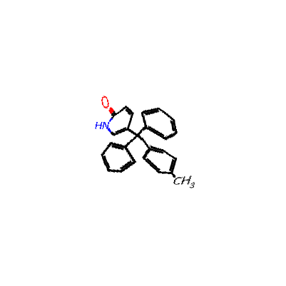 Cc1ccc(C(c2ccccc2)(c2ccccc2)c2ccc(=O)[nH]c2)cc1